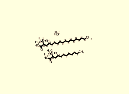 CCCCCCCCCCC(C(=O)O)[N+](C)(C)C.CCCCCCCCCCCCCCCCC(C(=O)O)[N+](C)(C)C.[OH-].[OH-]